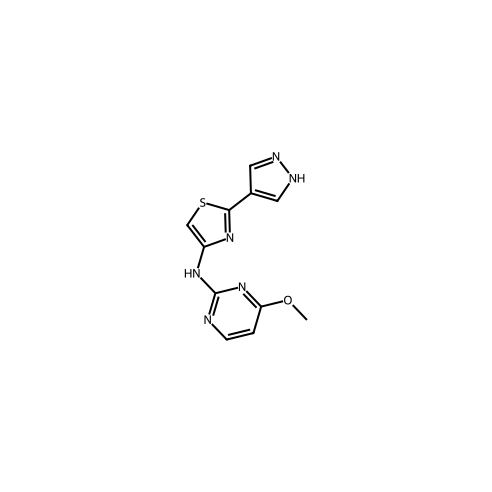 COc1ccnc(Nc2csc(-c3cn[nH]c3)n2)n1